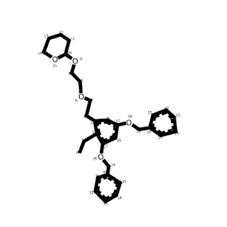 CCc1c(CCOCCOC2CCCCO2)cc(OCc2ccccc2)cc1OCc1ccccc1